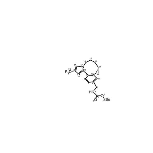 CC(C)(C)OC(=O)NCc1ccc2c(c1)OCCCCn1cc(C(F)(F)F)nc1-2